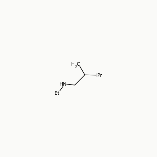 CCNCC(C)C(C)C